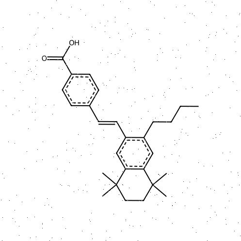 CCCCc1cc2c(cc1C=Cc1ccc(C(=O)O)cc1)C(C)(C)CCC2(C)C